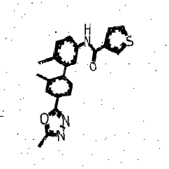 Cc1nnc(-c2ccc(-c3cc(NC(=O)c4ccsc4)ccc3C)c(C)c2)o1